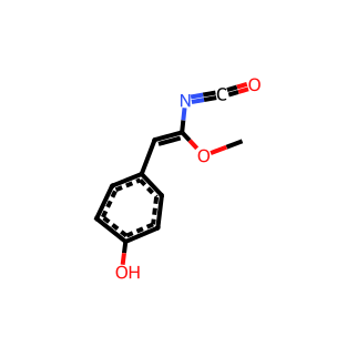 COC(=Cc1ccc(O)cc1)N=C=O